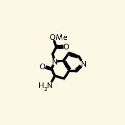 COC(=O)CN1C(=O)C(N)Cc2cnccc21